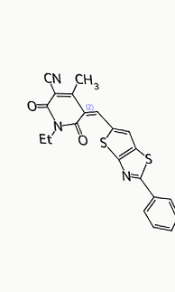 CCN1C(=O)C(C#N)=C(C)/C(=C/c2cc3sc(-c4ccccc4)nc3s2)C1=O